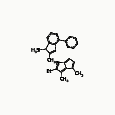 CC1=Cc2c(-c3ccccc3)cccc2C1[SiH3].CCC1=NC2=CC=C(C)C2=C1C